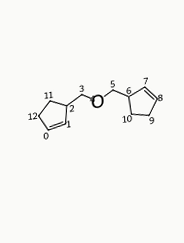 C1=CC(COCC2C=CCC2)CC1